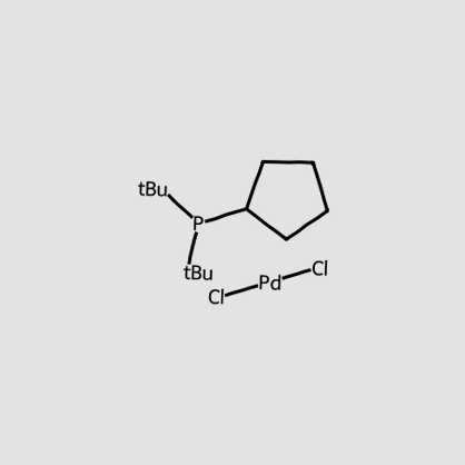 CC(C)(C)P(C1CCCC1)C(C)(C)C.[Cl][Pd][Cl]